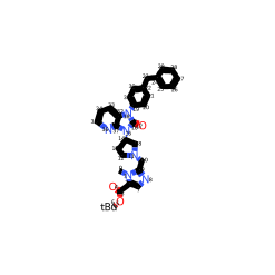 Cn1c(C(=O)OC(C)(C)C)cnc1CN1CC[C@H](n2c(=O)n(-c3ccc(Cc4ccccc4)cc3)c3cccnc32)C1